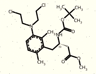 COC(=O)C[C@H](Cc1c(C)ccc(N(CCCl)CCCl)c1C)NC(=O)OC(C)(C)C